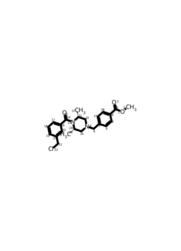 COC(=O)c1ccc(CN2C[C@@H](C)N(C(=O)c3cccc(CCl)c3)[C@@H](C)C2)cc1